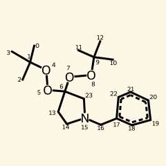 CC(C)(C)OOC1(OOC(C)(C)C)CCN(Cc2ccccc2)C1